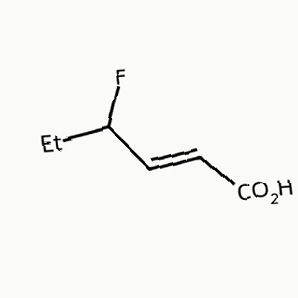 CCC(F)C=CC(=O)O